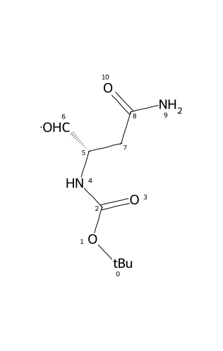 CC(C)(C)OC(=O)N[C@H]([C]=O)CC(N)=O